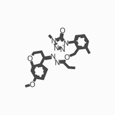 CCC(=N/N=C1/CCOc2cc(OC)ccc21)OCc1c(C)cccc1-n1nnn(C)c1=O